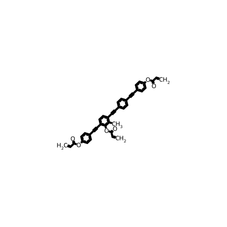 C=CC(=O)Oc1ccc(C#Cc2ccc(C#Cc3ccc(C#Cc4ccc(OC(=O)C=C)cc4)c(OC(=O)C=C)c3C)cc2)cc1